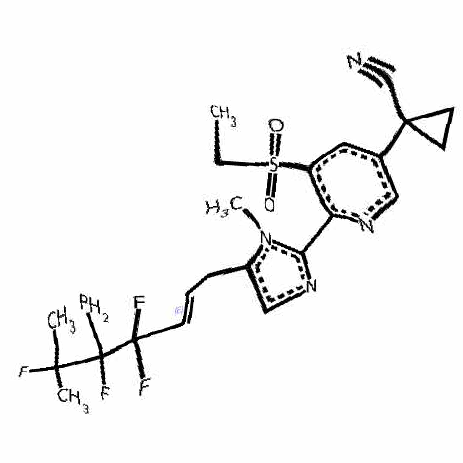 CCS(=O)(=O)c1cc(C2(C#N)CC2)cnc1-c1ncc(/C=C/C(F)(F)C(F)(P)C(C)(C)F)n1C